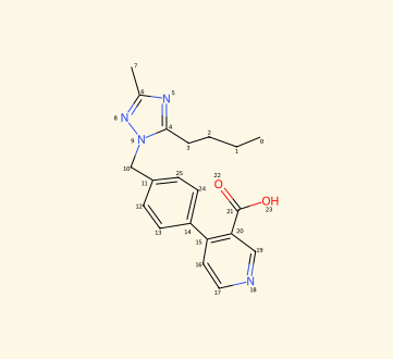 CCCCc1nc(C)nn1Cc1ccc(-c2ccncc2C(=O)O)cc1